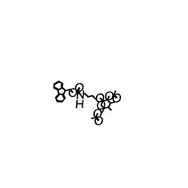 CC(=O)OCC1OC(OCCCCNC(=O)OCC2c3ccccc3-c3ccccc32)C(OC(C)=O)C(C)C1C